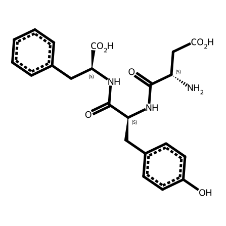 N[C@@H](CC(=O)O)C(=O)N[C@@H](Cc1ccc(O)cc1)C(=O)N[C@@H](Cc1ccccc1)C(=O)O